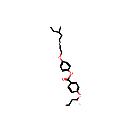 CCC[C@@H](C)Oc1ccc(C(=O)Oc2ccc(OCCCCCC(C)CC)cc2)cc1